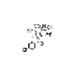 CCC(C(=O)O)c1c(C)n(C(=O)c2ccc(Cl)cc2)c2cc(F)c(O)cc12